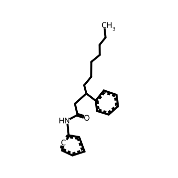 CCCCCCCC(CC(=O)Nc1ccccc1)c1ccccc1